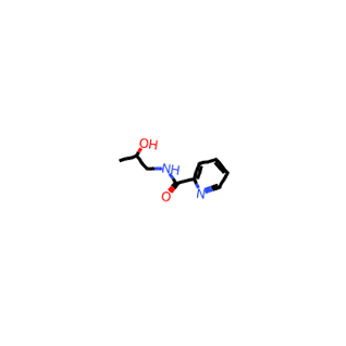 CC(O)CNC(=O)c1ccccn1